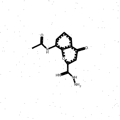 CC(=O)Nc1cccc2c(=O)cc(C(=N)NN)oc12